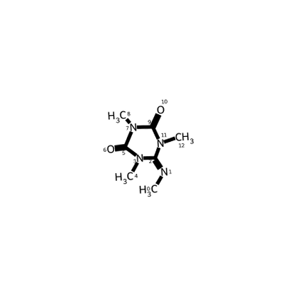 CN=c1n(C)c(=O)n(C)c(=O)n1C